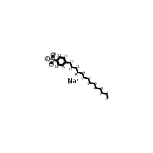 CCCCCCCCCCCCCCc1ccc(S(=O)(=O)[O-])cc1.[Na+]